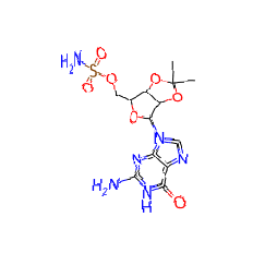 CC1(C)OC2C(COS(N)(=O)=O)OC(n3cnc4c(=O)[nH]c(N)nc43)C2O1